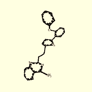 Nc1nc(CCc2ccc(-c3ccccc3Oc3ccccc3)s2)nc2ccccc12